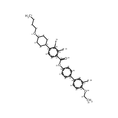 CCCCOC1CCC(c2ccc(C(=O)Oc3ccc(-c4ccc(OCC)c(F)c4)cc3)c(F)c2F)CC1